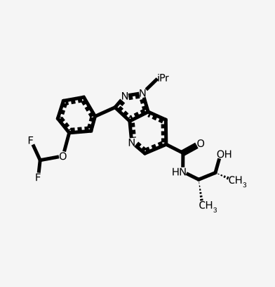 CC(C)n1nc(-c2cccc(OC(F)F)c2)c2ncc(C(=O)N[C@@H](C)[C@@H](C)O)cc21